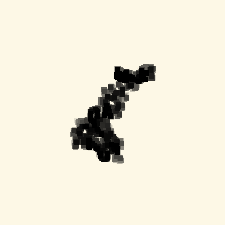 CCN(CC)CCCCC1CCN(CC(=O)N2c3ccccc3NC(=O)c3c2ccn3C)CC1